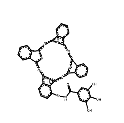 O=C([NH][Zn][c]1cccc2c3nc4nc(nc5[nH]c(nc6nc(nc([nH]3)c12)-c1ccccc1-6)c1ccccc51)-c1ccccc1-4)c1cc(O)c(O)c(O)c1